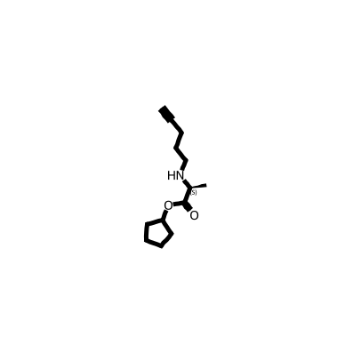 C#CCCCN[C@@H](C)C(=O)OC1CCCC1